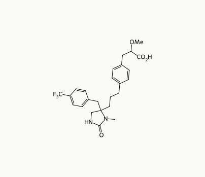 COC(Cc1ccc(CCCC2(Cc3ccc(C(F)(F)F)cc3)CNC(=O)N2C)cc1)C(=O)O